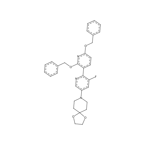 Fc1cc(N2CCC3(CC2)OCCO3)cnc1-c1ccc(OCc2ccccc2)nc1OCc1ccccc1